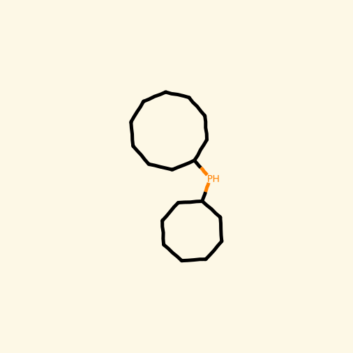 C1CCCCC(PC2CCCCCCC2)CCCC1